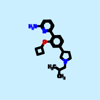 CC(C)CN1CCC(c2ccc(-c3cccc(N)n3)c(OC3CCC3)c2)C1